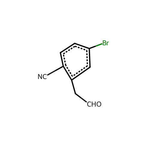 N#Cc1ccc(Br)cc1CC=O